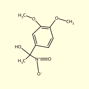 COc1ccc(C(C)(O)[N+](=O)[O-])cc1OC